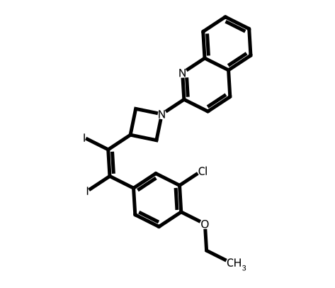 CCOc1ccc(/C(I)=C(/I)C2CN(c3ccc4ccccc4n3)C2)cc1Cl